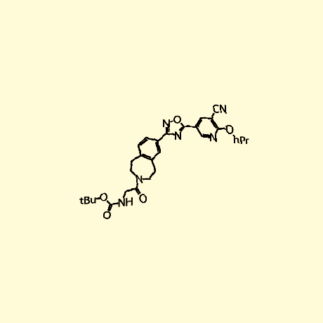 CCCOc1ncc(-c2nc(-c3ccc4c(c3)CCN(C(=O)CNC(=O)OC(C)(C)C)CC4)no2)cc1C#N